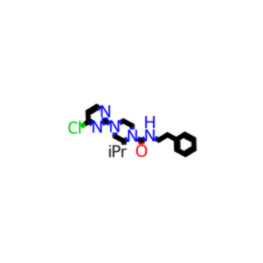 CC(C)C1CN(c2nccc(Cl)n2)CCN1C(=O)NCCc1ccccc1